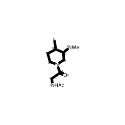 CNC1CN(C(=O)CNC(C)=O)CCC1C